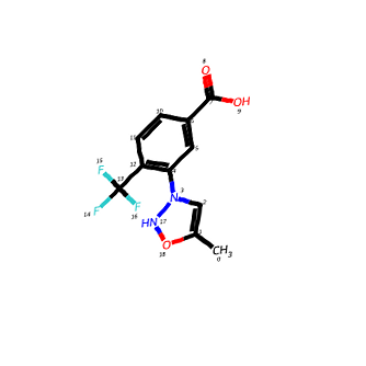 CC1=CN(c2cc(C(=O)O)ccc2C(F)(F)F)NO1